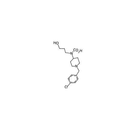 O=C(O)N(CCCO)C1CCN(Cc2ccc(Cl)cc2)CC1